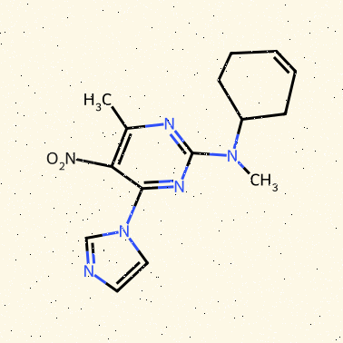 Cc1nc(N(C)C2CC=CCC2)nc(-n2ccnc2)c1[N+](=O)[O-]